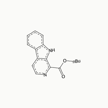 CCCCOC(=O)c1nccc2c1[nH]c1ccccc12